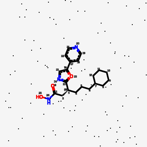 O=C(C[C@@H](CCCC1CCCCC1)c1ncc(-c2ccncc2)o1)NO